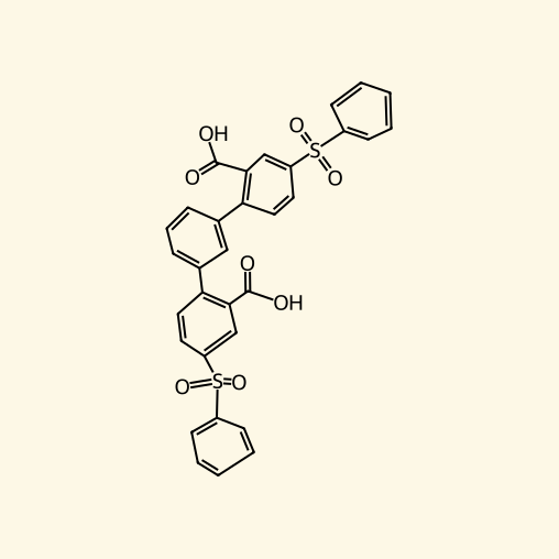 O=C(O)c1cc(S(=O)(=O)c2ccccc2)ccc1-c1cccc(-c2ccc(S(=O)(=O)c3ccccc3)cc2C(=O)O)c1